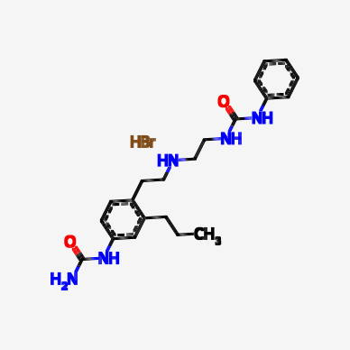 Br.CCCc1cc(NC(N)=O)ccc1CCNCCNC(=O)Nc1ccccc1